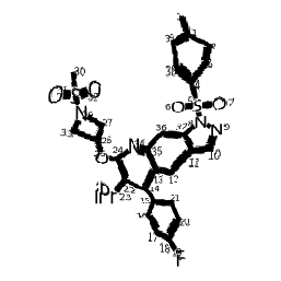 Cc1ccc(S(=O)(=O)n2ncc3cc4c(-c5ccc(F)cc5)c(C(C)C)c(OC5CN(S(C)(=O)=O)C5)nc4cc32)cc1